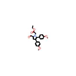 CCOC(=O)Cn1c(C=O)cc(-c2ccc(OC)cc2)c1-c1ccc(OC)cc1